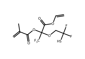 C=COC(=O)C(OCC(F)(F)S)(OC(=O)C(=C)C)C(F)(F)F